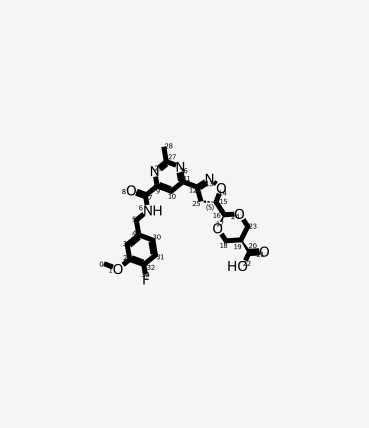 COc1cc(CNC(=O)c2cc(C3=NO[C@H]([C@H]4OC[C@H](C(=O)O)CO4)C3)nc(C)n2)ccc1F